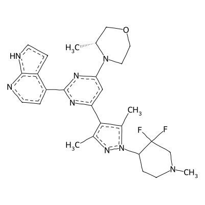 Cc1nn(C2CCN(C)CC2(F)F)c(C)c1-c1cc(N2CCOC[C@H]2C)nc(-c2ccnc3[nH]ccc23)n1